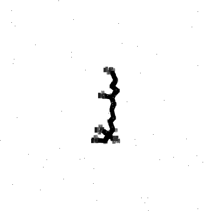 CCCCC(O)CCCCCC(C)(C)CO